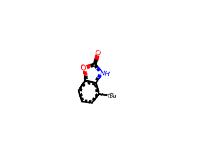 CC(C)(C)c1cccc2oc(=O)[nH]c12